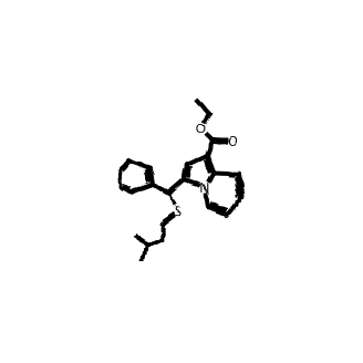 CCOC(=O)c1cc([C@@H](SCCC(C)C)c2ccccc2)n2ccccc12